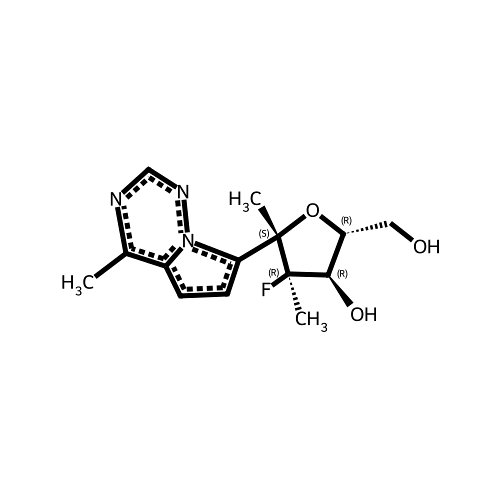 Cc1ncnn2c([C@]3(C)O[C@H](CO)[C@@H](O)[C@@]3(C)F)ccc12